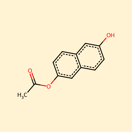 CC(=O)Oc1ccc2cc(O)ccc2c1